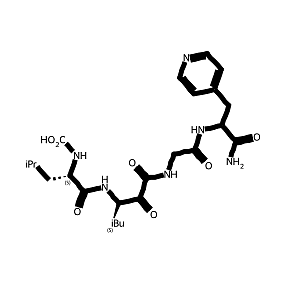 CC[C@H](C)C(NC(=O)[C@H](CC(C)C)NC(=O)O)C(=O)C(=O)NCC(=O)NC(Cc1ccncc1)C(N)=O